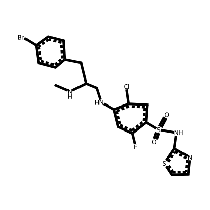 CNC(CNc1cc(F)c(S(=O)(=O)Nc2nccs2)cc1Cl)Cc1ccc(Br)cc1